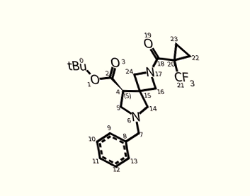 CC(C)(C)OC(=O)[C@@H]1CN(Cc2ccccc2)CC12CN(C(=O)C1(C(F)(F)F)CC1)C2